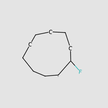 FC1[CH]CCCCCCCC1